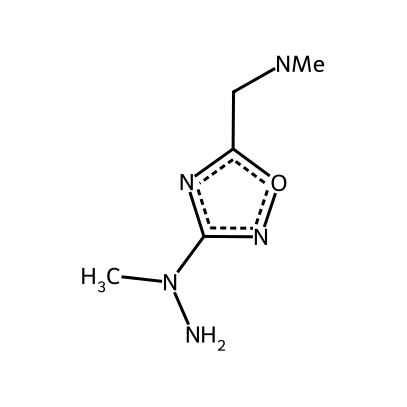 CNCc1nc(N(C)N)no1